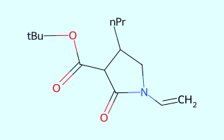 C=CN1CC(CCC)C(C(=O)OC(C)(C)C)C1=O